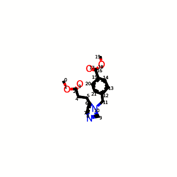 COC(=O)CCc1cncn1Cc1ccc(C(=O)OC)cc1